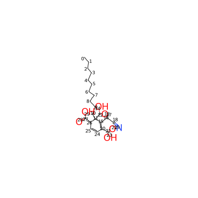 CCCCCCCCCCCC1(C(=O)O)C(C(C)C#N)=C(C(=O)O)C=CC1C(=O)O